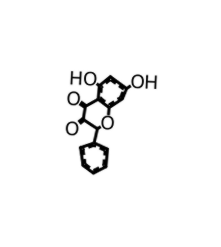 O=C1C(=O)C(c2ccccc2)Oc2cc(O)cc(O)c21